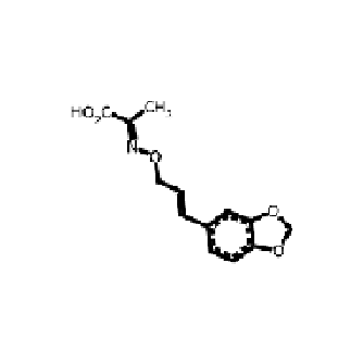 CC(=NOCC=Cc1ccc2c(c1)OCO2)C(=O)O